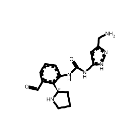 NCc1cc(NC(=O)Nc2cccc(C=O)c2[C@H]2CCCN2)[nH]n1